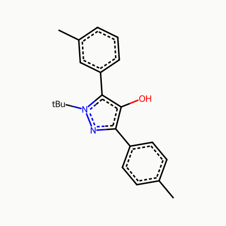 Cc1ccc(-c2nn(C(C)(C)C)c(-c3cccc(C)c3)c2O)cc1